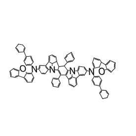 C1=CC2c3ccccc3OC2C(N(c2ccc(C3=CCCC=C3)cc2)c2ccc3c(c2)c2cccc4c5c(n3c42)C(c2ccccc2)C2C(=C5c3ccccc3)N3c4ccc(N(c5ccc(C6=CCCC=C6)cc5)c5cccc6c5oc5ccccc56)cc4C4=CC=CC2C43)=C1